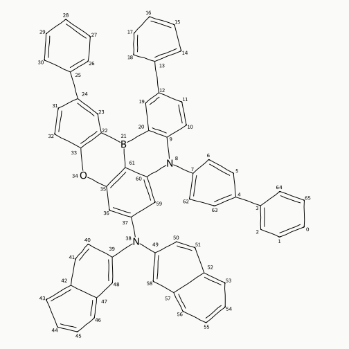 c1ccc(-c2ccc(N3c4ccc(-c5ccccc5)cc4B4c5cc(-c6ccccc6)ccc5Oc5cc(N(c6ccc7ccccc7c6)c6ccc7ccccc7c6)cc3c54)cc2)cc1